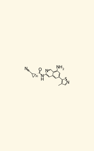 Cc1cnsc1-c1cc(N)c2cnc(NC(=O)[C@@H]3CC3C#N)cc2c1